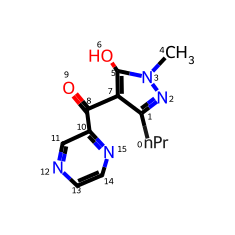 CCCc1nn(C)c(O)c1C(=O)c1cnccn1